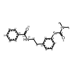 CN(C)C(=O)Sc1cccc(CCNC(=O)c2ccccc2)c1